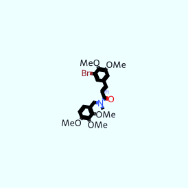 COc1cc(/C=C/C(=O)N(C)Cc2ccc(OC)c(OC)c2OC)cc(Br)c1OC